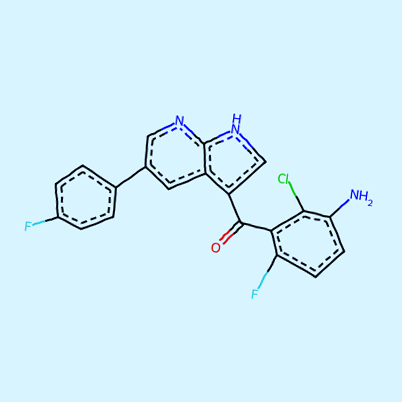 Nc1ccc(F)c(C(=O)c2c[nH]c3ncc(-c4ccc(F)cc4)cc23)c1Cl